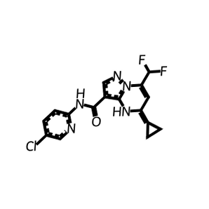 O=C(Nc1ccc(Cl)cn1)c1cnn2c1NC(=C1CC1)C=C2C(F)F